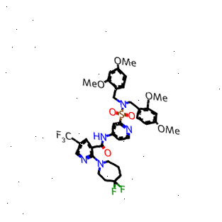 COc1ccc(CN(Cc2ccc(OC)cc2OC)S(=O)(=O)c2cc(NC(=O)c3cc(C(F)(F)F)cnc3N3CCCC(F)(F)CC3)ccn2)c(OC)c1